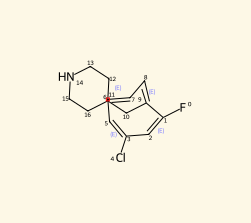 FC1=C/C(Cl)=C\C=C\C=C\1CC1CCNCC1